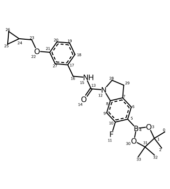 CC1(C)OB(c2cc3c(cc2F)N(C(=O)NCc2cccc(OCC4CC4)c2)CC3)OC1(C)C